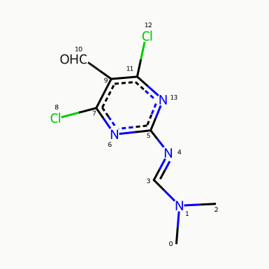 CN(C)C=Nc1nc(Cl)c(C=O)c(Cl)n1